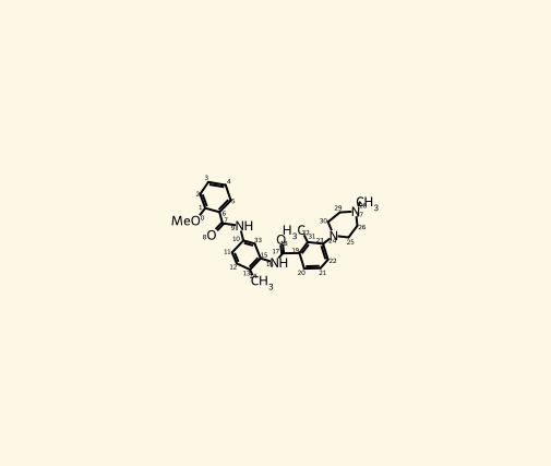 COc1ccccc1C(=O)Nc1ccc(C)c(NC(=O)c2cccc(N3CCN(C)CC3)c2C)c1